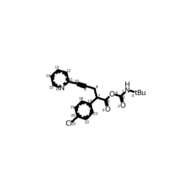 CC(C)(C)NC(=O)OC(=O)C(CC#Cc1ccccn1)c1ccc(Cl)cc1